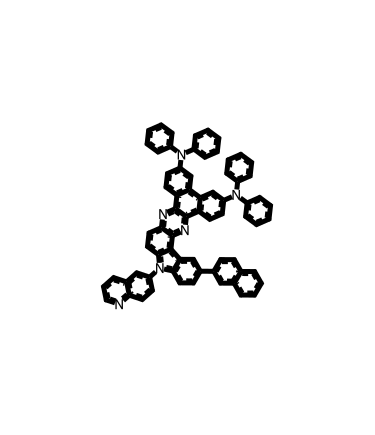 c1ccc(N(c2ccccc2)c2ccc3c(c2)c2cc(N(c4ccccc4)c4ccccc4)ccc2c2nc4c(ccc5c4c4cc(-c6ccc7ccccc7c6)ccc4n5-c4ccc5ncccc5c4)nc32)cc1